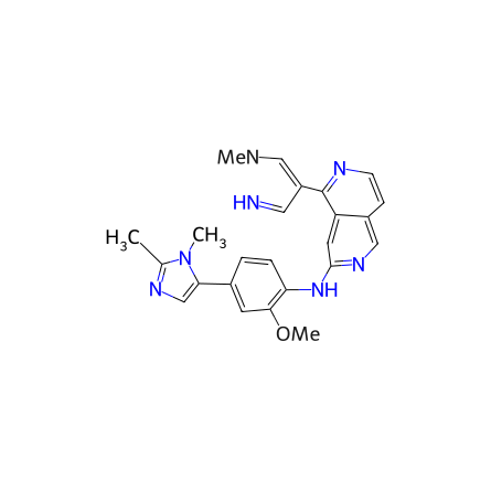 CN/C=C(\C=N)c1nccc2cnc(Nc3ccc(-c4cnc(C)n4C)cc3OC)cc12